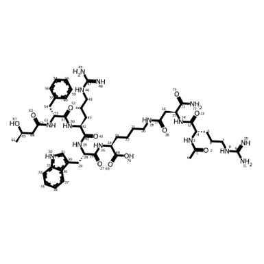 CC(=O)N[C@@H](CCCNC(=N)N)C(=O)N[C@@H](CC(=O)NCCCC[C@H](NC(=O)[C@H](Cc1c[nH]c2ccccc12)NC(=O)[C@H](CCCNC(=N)N)NC(=O)[C@@H](Cc1ccccc1)NC(=O)C[C@@H](C)O)C(=O)O)C(N)=O